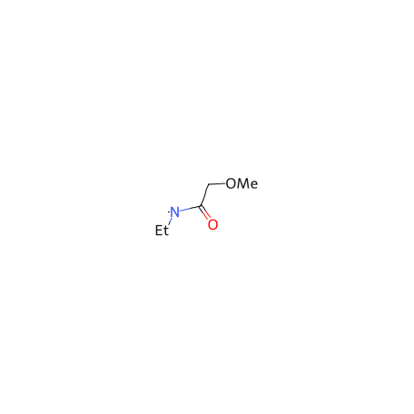 CC[N]C(=O)COC